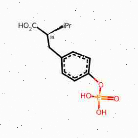 CC(C)[C@@H](Cc1ccc(OP(=O)(O)O)cc1)C(=O)O